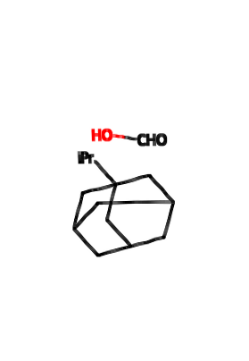 CC(C)C12CC3CC(CC(C3)C1)C2.O=CO